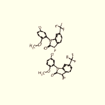 COc1ccc(Cl)cc1N1C(=O)C(F)c2ccc(C(F)(F)F)cc21.COc1ccc(Cl)cc1N1C(=O)[C@@H](F)c2ccc(C(F)(F)F)cc21